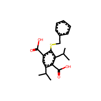 CC(C)c1cc(C(=O)O)c(SCc2ccccc2)c(C(C)C)c1C(=O)O